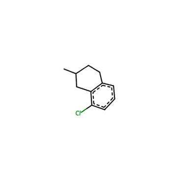 CC1CCc2cccc(Cl)c2C1